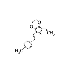 C=Cc1sc(/C=C/c2ccc(C)cc2)c2c1OCCO2